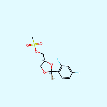 CS(=O)(=O)OC[C@@H]1CO[C@@](Br)(c2ccc(F)cc2F)O1